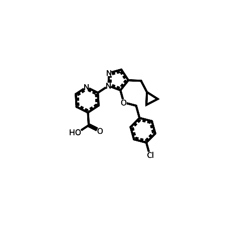 O=C(O)c1ccnc(-n2ncc(CC3CC3)c2OCc2ccc(Cl)cc2)c1